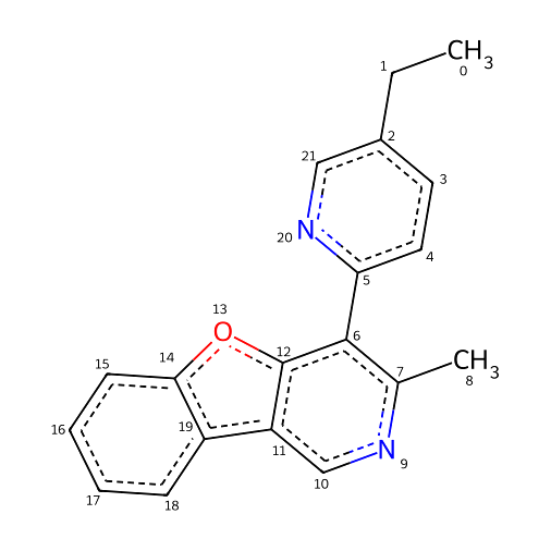 CCc1ccc(-c2c(C)ncc3c2oc2ccccc23)nc1